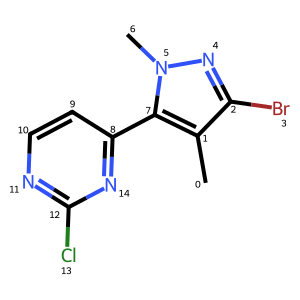 Cc1c(Br)nn(C)c1-c1ccnc(Cl)n1